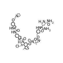 Cc1csc2c(OC(=O)N(C)CC(C)(C)CN(C)C(=O)OCc3ccc(N[C@@H](CCC(N)C(N)=O)C(N)=O)cc3)cc3c(c12)[C@H](CCl)CN3C(=O)c1cc2cc(NC(=O)c3cc4cc(OCCN5CCCC5)ccc4[nH]3)ccc2[nH]1